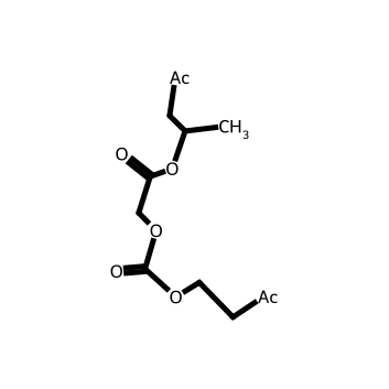 CC(=O)CCOC(=O)OCC(=O)OC(C)CC(C)=O